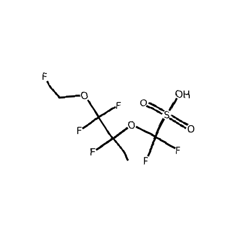 CC(F)(OC(F)(F)S(=O)(=O)O)C(F)(F)OCF